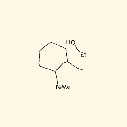 CCO.CNC1CCCCC1C